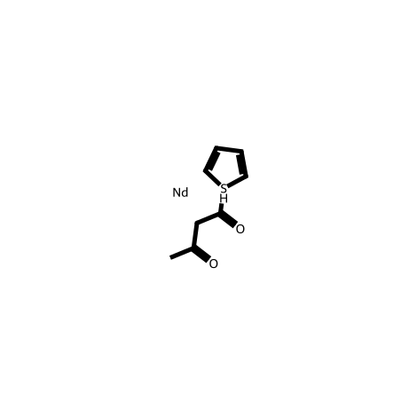 CC(=O)CC(=O)[SH]1C=CC=C1.[Nd]